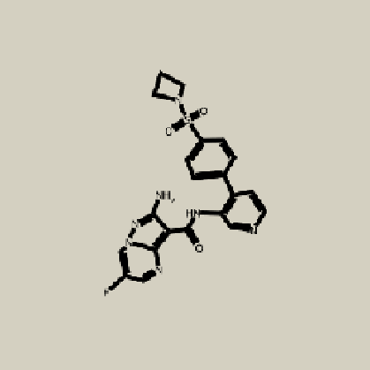 Nc1nn2cc(F)cnc2c1C(=O)Nc1cnccc1-c1ccc(S(=O)(=O)N2CCC2)cc1